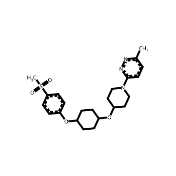 Cc1ccc(N2CCC(OC3CCC(Oc4ccc(S(C)(=O)=O)cc4)CC3)CC2)nn1